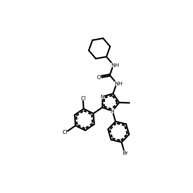 Cc1c(NC(=O)NC2CCCCC2)nc(-c2ccc(Cl)cc2Cl)n1-c1ccc(Br)cc1